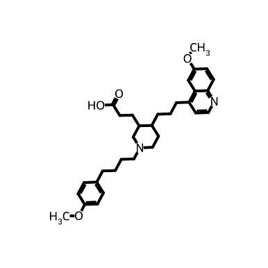 COc1ccc(CCCCN2CCC(CCCc3ccnc4ccc(OC)cc34)C(CCC(=O)O)C2)cc1